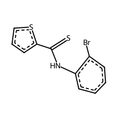 S=C(Nc1ccccc1Br)c1cccs1